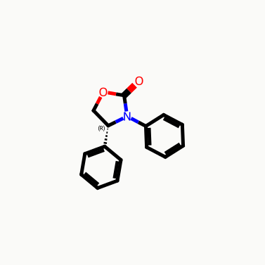 O=C1OC[C@@H](c2ccccc2)N1c1ccccc1